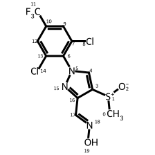 C[S+]([O-])c1cn(-c2c(Cl)cc(C(F)(F)F)cc2Cl)nc1/C=N/O